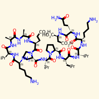 CC(C)C[C@H](NC(=O)[C@@H]1CCCN1C(=O)[C@@H](NC(=O)[C@@H]1CCCN1C(=O)[C@H](CCC(=O)O)NC(=O)[C@H](C)NC(=O)[C@H](C)NC(=O)[C@@H](NC(=O)[C@@H](N)CCCCN)C(C)C)C(C)C)C(=O)N[C@H](C(=O)N[C@@H](CCCCN)C(=O)N[C@@H](CCC(N)=O)C(=O)N[C@@H](CC(=O)O)C(=O)O)C(C)C